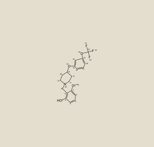 COc1cccc(O)c1CN1CCC(Oc2cccc(OC(F)(F)F)c2)CC1